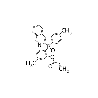 C=CC(=O)Oc1cc(C)ccc1P(=O)(c1ccc(C)cc1)c1cc2ccccc2cn1